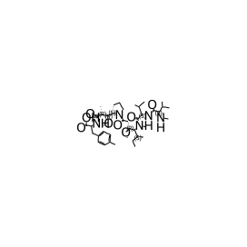 CC[C@H](C)C([C@@H](CC(=O)N1CCC[C@H]1[C@H](OC)[C@@H](C)C(=O)NC(Cc1ccc(C)cc1)C(=O)O)OC)N(C)C(=O)[C@@H](NC(=O)[C@@H](NC)C(C)C)C(C)C